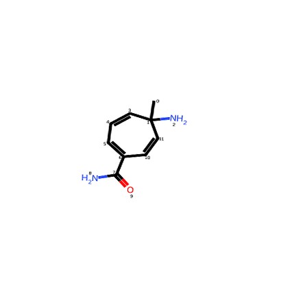 CC1(N)C=CC=C(C(N)=O)C=C1